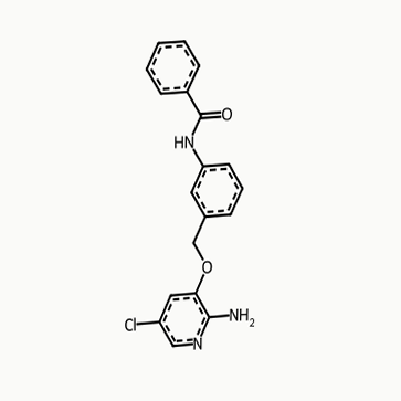 Nc1ncc(Cl)cc1OCc1cccc(NC(=O)c2ccccc2)c1